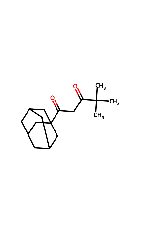 CC(C)(C)C(=O)CC(=O)C12CC3CC(CC(C3)C1)C2